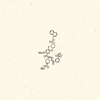 COc1cc(F)c(O[C@H]2CC[C@@](C)(C(=O)OCc3cccc4ccccc34)CC2)cc1C(=O)N[C@@H]1CCN(C(=O)OC(C)(C)C)C[C@@H]1C(=O)Nc1cccc(S(=O)(=O)C(F)(F)F)c1